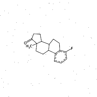 CC12CCC3c4cccc(F)c4CCC3C1CCC2=O